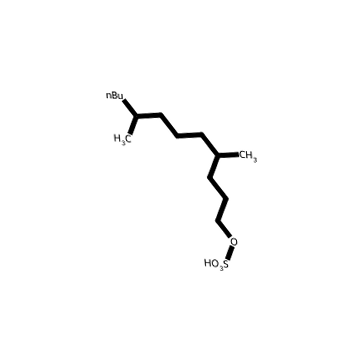 CCCCC(C)CCCC(C)CCCOS(=O)(=O)O